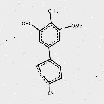 COc1cc(-c2ccc(C#N)cc2)cc(C=O)c1O